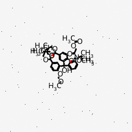 COCOc1ccc(C2OCC(C)(C)CO2)cc1C(O)(c1cccc(N(C(=O)COC(C)=O)C(C)C)c1)c1cc(C2OCC(C)(C)CO2)ccc1OCOC